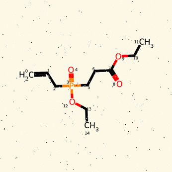 C=CCP(=O)(CCC(=O)OCC)OCC